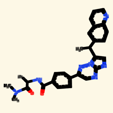 CC(c1ccc2ncccc2c1)c1cnc2ncc(-c3ccc(C(=O)NC(C(=O)N(C)C)C(C)C)cc3)nn12